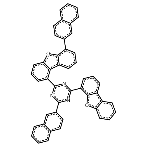 c1ccc2cc(-c3nc(-c4cccc5c4oc4ccccc45)nc(-c4cccc5oc6c(-c7ccc8ccccc8c7)cccc6c45)n3)ccc2c1